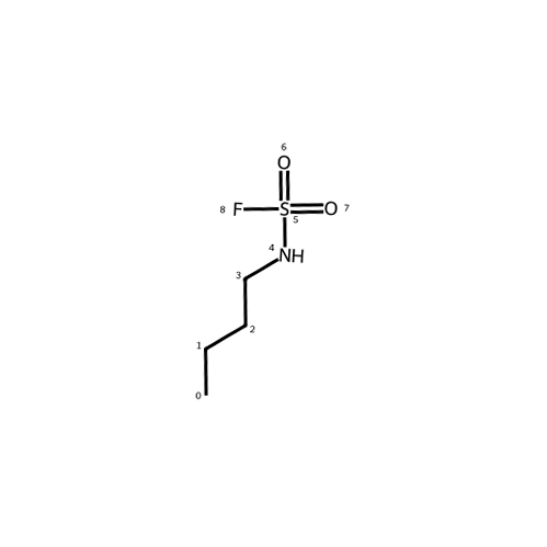 CCCCNS(=O)(=O)F